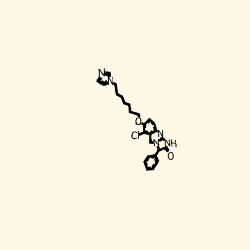 O=C1NC2=Nc3ccc(OCCCCCCCn4ccnc4)c(Cl)c3CN2C1c1ccccc1